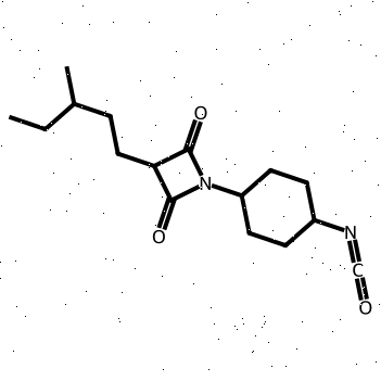 CCC(C)CCC1C(=O)N(C2CCC(N=C=O)CC2)C1=O